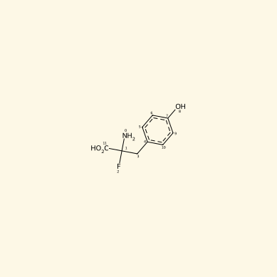 NC(F)(Cc1ccc(O)cc1)C(=O)O